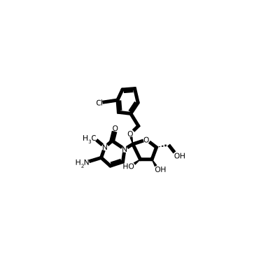 CN1C(=O)N([C@]2(OCc3cccc(Cl)c3)O[C@H](CO)[C@@H](O)[C@H]2O)C=CC1N